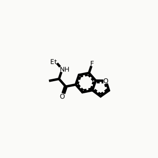 CCNC(C)C(=O)c1cc(F)c2occc2c1